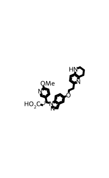 COc1ccc([C@@H](CC(=O)O)n2ncc3cc(OCCc4ccc5c(n4)CCCN5)ccc32)cn1